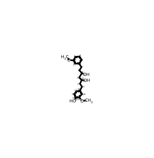 COc1cccc(CCC(O)CC(O)CCc2ccc(O)c(OC)c2)c1